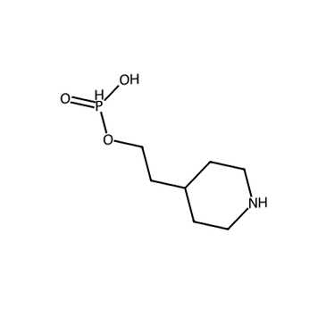 O=[PH](O)OCCC1CCNCC1